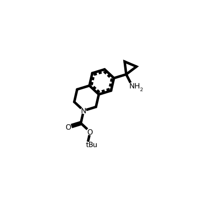 CC(C)(C)OC(=O)N1CCc2ccc(C3(N)CC3)cc2C1